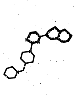 c1ccc2cc(-c3ccnc(N4CCC(CN5CCCCC5)CC4)n3)ccc2c1